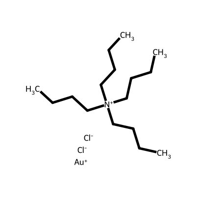 CCCC[N+](CCCC)(CCCC)CCCC.[Au+].[Cl-].[Cl-]